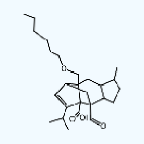 CCCCCCOCC12CC3C(C)CCC3C3(C=O)CC1C=C(C(C)C)C32C(=O)O